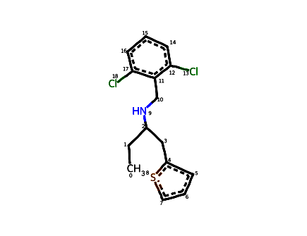 CCC(Cc1cccs1)NCc1c(Cl)cccc1Cl